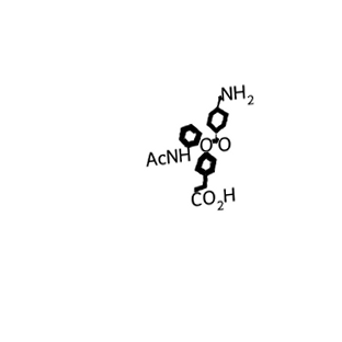 CC(=O)Nc1ccccc1.NC[C@H]1CC[C@H](C(=O)Oc2ccc(CCC(=O)O)cc2)CC1